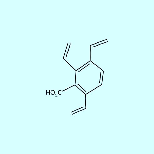 C=Cc1ccc(C=C)c(C(=O)O)c1C=C